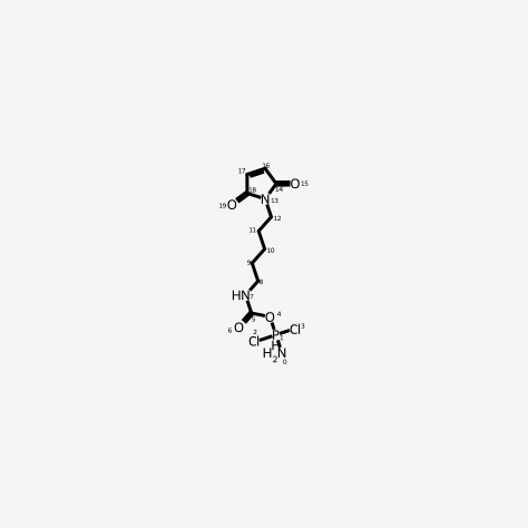 N[PH](Cl)(Cl)OC(=O)NCCCCCN1C(=O)C=CC1=O